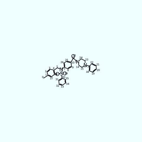 Cc1ccc(CN(c2ccc(C(=O)N3CCN(c4ccccc4)CC3)cc2)S(=O)(=O)c2ccccc2)cc1